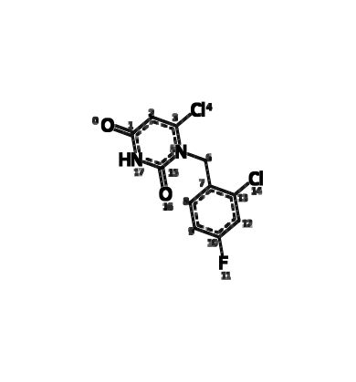 O=c1cc(Cl)n(Cc2ccc(F)cc2Cl)c(=O)[nH]1